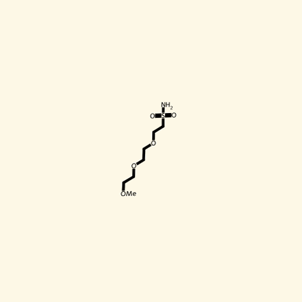 COCCOCCOCCS(N)(=O)=O